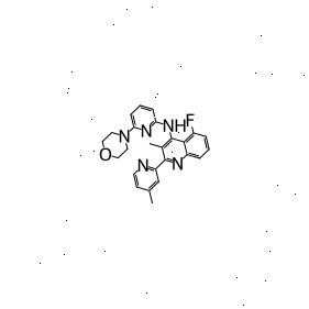 Cc1ccnc(-c2nc3cccc(F)c3c(Nc3cccc(N4CCOCC4)n3)c2C)c1